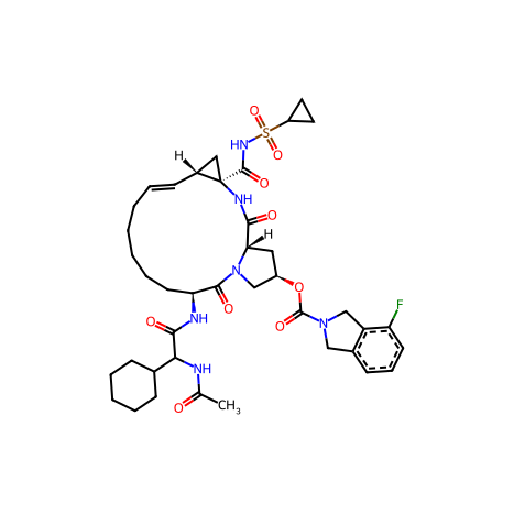 CC(=O)NC(C(=O)N[C@H]1CCCCC/C=C/[C@@H]2C[C@@]2(C(=O)NS(=O)(=O)C2CC2)NC(=O)[C@@H]2C[C@@H](OC(=O)N3Cc4cccc(F)c4C3)CN2C1=O)C1CCCCC1